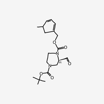 CC1C=CC=C(COC(=O)N2CCN(C(=O)OC(C)(C)C)C[C@@H]2C=O)C1